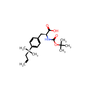 C=CC[Si](C)(C)c1ccc(C[C@H](NC(=O)OC(C)(C)C)C(=O)O)cc1